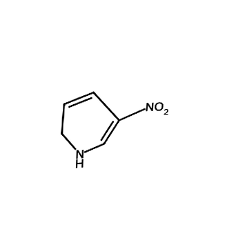 O=[N+]([O-])C1=CNCC=C1